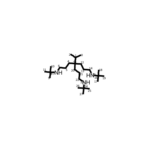 CC(C)C(CCCNC(C)(C)C)(CCCNC(C)(C)C)CCCNC(C)(C)C